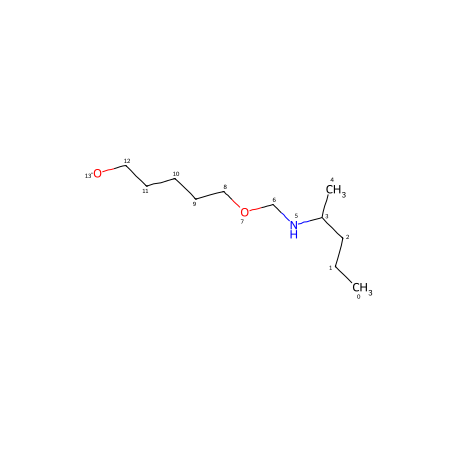 CCCC(C)NCOCCCCC[O]